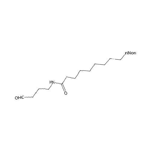 CCCCCCCCCCCCCCCCCC(=O)NCCCC=O